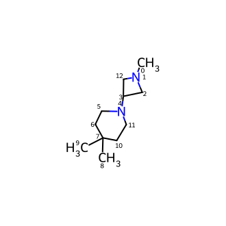 CN1CC(N2CCC(C)(C)CC2)C1